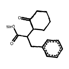 COC(=O)C(Cc1ccccc1)C1CCCCC1=O